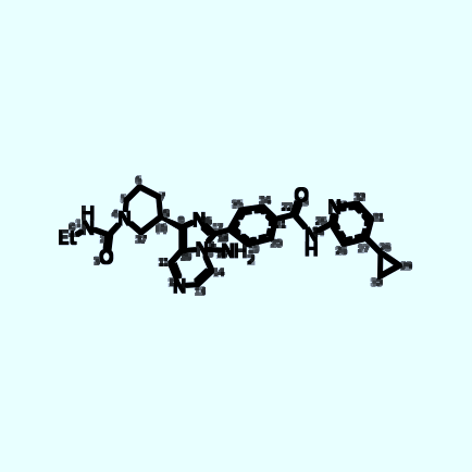 CCNC(=O)N1CCC[C@@H](C2=C3C=NC=C[N+]3(N)C(c3ccc(C(=O)Nc4cc(C5CC5)ccn4)cc3)=N2)C1